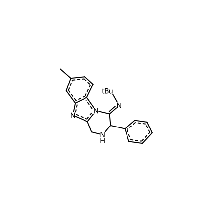 Cc1ccc2c(c1)nc1n2/C(=N\C(C)(C)C)C(c2ccccc2)NC1